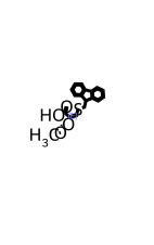 COCO/C(=C/SCC1c2ccccc2-c2ccccc21)C(=O)O